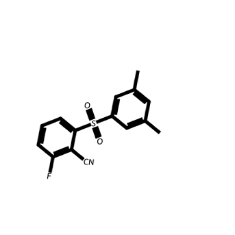 Cc1cc(C)cc(S(=O)(=O)c2cccc(F)c2C#N)c1